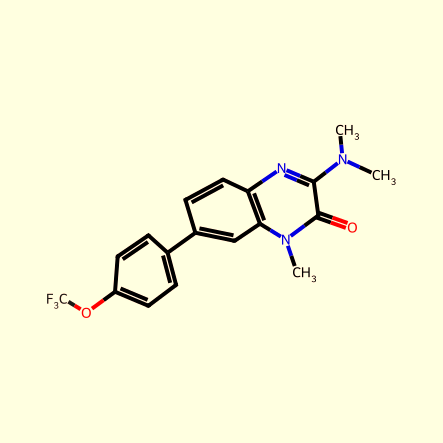 CN(C)c1nc2ccc(-c3ccc(OC(F)(F)F)cc3)cc2n(C)c1=O